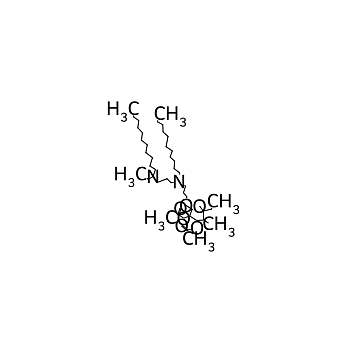 CCCCCCCCCCCN(CC)CCCN(CCCCCCCCCCC)CCCOC1OC(CC)C(C)C(OC(C)=O)C1OC(C)=O